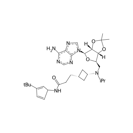 CC(C)N(C[C@H]1O[C@@H](n2cnc3c(N)ncnc32)[C@@H]2OC(C)(C)O[C@@H]21)[C@H]1C[C@@H](CCC(=O)NC2C=CC(C(C)(C)C)=C2)C1